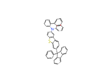 c1ccc(-c2ccccc2N(c2ccccc2)c2ccc3sc4cc(C5(c6ccccc6)c6ccccc6-c6ccccc65)ccc4c3c2)cc1